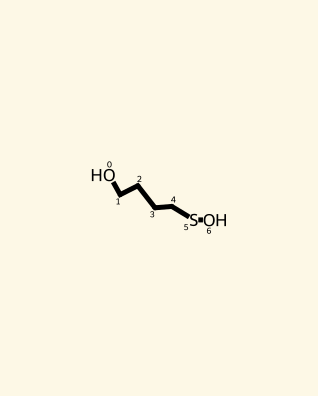 OCCCCSO